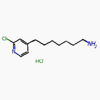 Cl.NCCCCCCCc1ccnc(Cl)c1